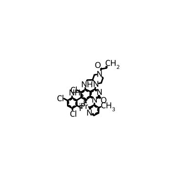 C=CC(=O)N1CCN2c3nc(=O)n(-c4c(C)ccnc4C(C)C)c4c(F)c(-c5c(N)c(Cl)cc(Cl)c5F)c(Cl)c(c34)NCC2C1